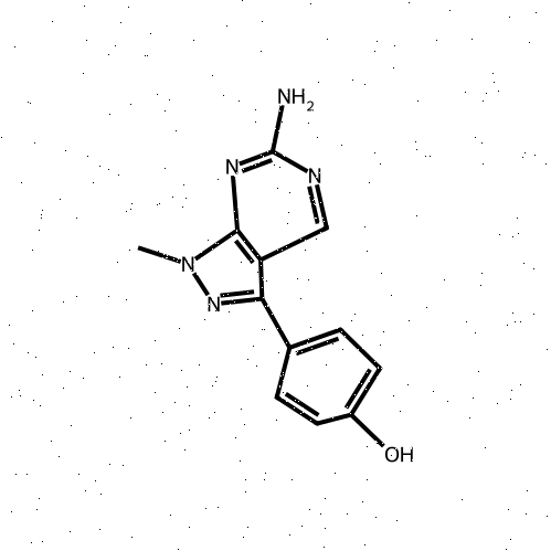 Cn1nc(-c2ccc(O)cc2)c2cnc(N)nc21